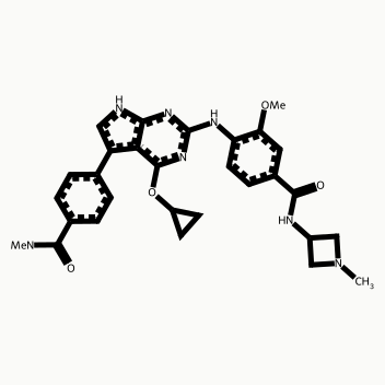 CNC(=O)c1ccc(-c2c[nH]c3nc(Nc4ccc(C(=O)NC5CN(C)C5)cc4OC)nc(OC4CC4)c23)cc1